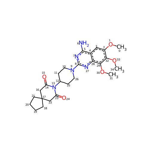 COc1cc2c(N)nc(N3CCC(N4C(=O)CC5(CCCC5)CC4=O)CC3)nc2c(OC)c1OC